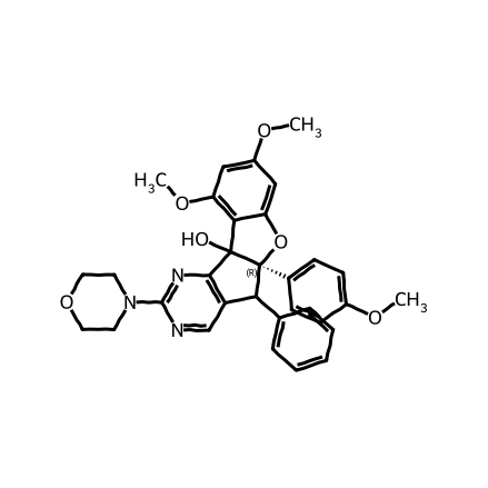 COc1ccc([C@@]23Oc4cc(OC)cc(OC)c4C2(O)c2nc(N4CCOCC4)ncc2C3c2ccccc2)cc1